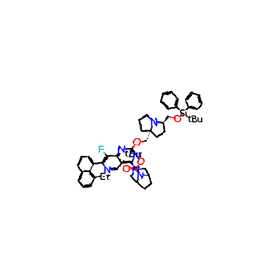 CCc1cccc2cccc(-c3ncc4c(N5CC6CCC(C5)N6C(=O)OC(C)(C)C)nc(OC[C@]56CCCN5[C@@H](CO[Si](c5ccccc5)(c5ccccc5)C(C)(C)C)CC6)nc4c3F)c12